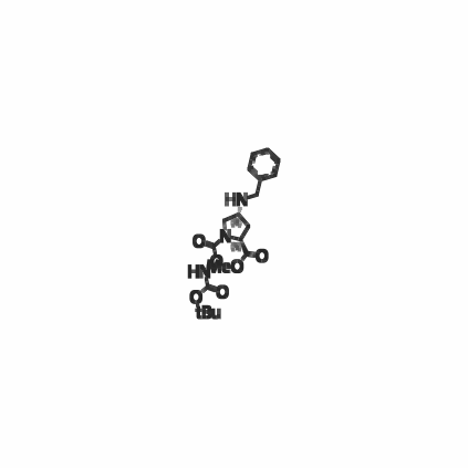 COC(=O)[C@@H]1C[C@@H](NCc2ccccc2)CN1C(=O)ONC(=O)OC(C)(C)C